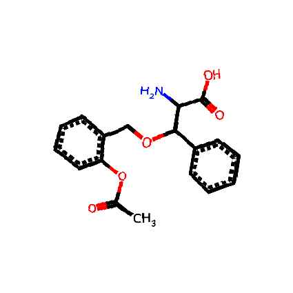 CC(=O)Oc1ccccc1COC(c1ccccc1)C(N)C(=O)O